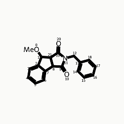 COC1c2ccccc2C2C(=O)N(Cc3ccccc3)C(=O)C12